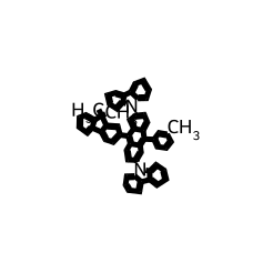 Cc1cccc(-c2c3ccc(-n4c5ccccc5c5ccccc54)cc3c(-c3ccc4c(c3)C(C)(C)c3ccccc3-4)c3ccc(-n4c5ccccc5c5ccccc54)cc23)c1